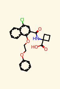 O=C(NC1(C(=O)O)CCC1)c1cc(Cl)c2ccccc2c1OCCOc1ccccc1